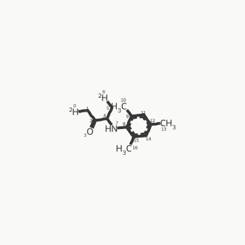 [2H]CC(=O)C(C[2H])Nc1c(C)cc(C)cc1C